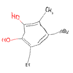 CCCCc1cc(CC)c(O)c(O)c1C